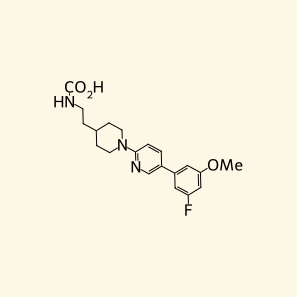 COc1cc(F)cc(-c2ccc(N3CCC(CCNC(=O)O)CC3)nc2)c1